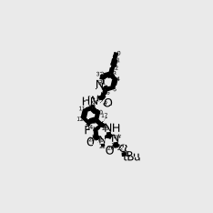 CC#Cc1ccc(C(=O)Nc2ccc(F)c([C@]3(C)CC(=O)N(C)/C(=N\C(=O)OC(C)(C)C)N3)c2)nc1